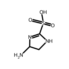 NC1CNC(S(=O)(=O)O)=N1